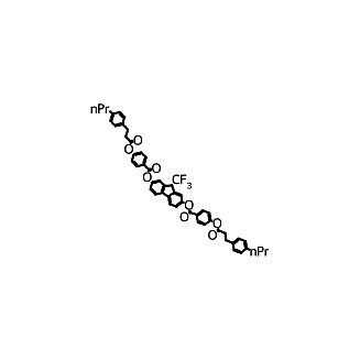 CCCc1ccc(CCC(=O)Oc2ccc(C(=O)Oc3ccc4c(c3)C(C(F)(F)F)c3cc(OC(=O)c5ccc(OC(=O)CCc6ccc(CCC)cc6)cc5)ccc3-4)cc2)cc1